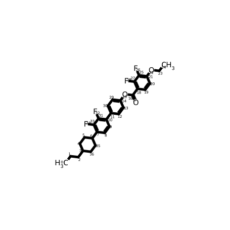 CCCC1CCC(c2ccc(-c3ccc(OC(=O)c4ccc(OCC)c(F)c4F)cc3)c(F)c2F)CC1